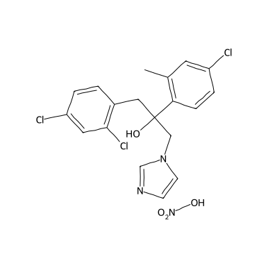 Cc1cc(Cl)ccc1C(O)(Cc1ccc(Cl)cc1Cl)Cn1ccnc1.O=[N+]([O-])O